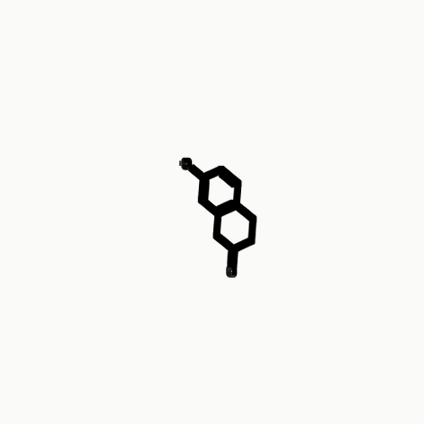 [O]c1ccc2c(c1)CC(=O)CC2